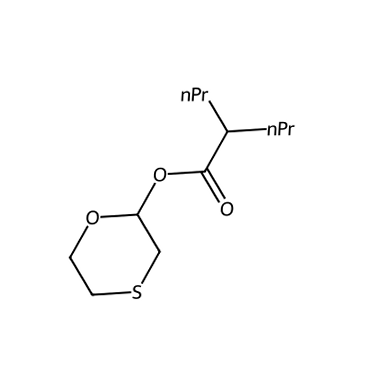 CCCC(CCC)C(=O)OC1CSCCO1